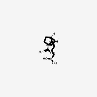 C=C(O)[C@]12CC[C@@H](CN1)[C@H]2CCCB(O)O